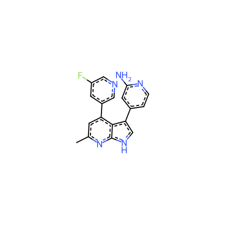 Cc1cc(-c2cncc(F)c2)c2c(-c3ccnc(N)c3)c[nH]c2n1